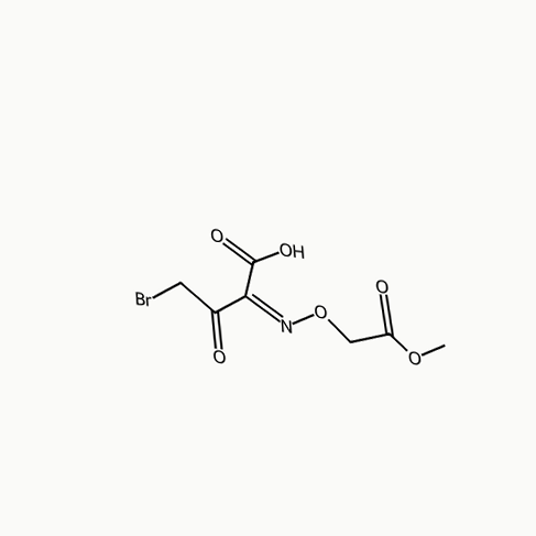 COC(=O)CO/N=C(\C(=O)O)C(=O)CBr